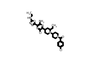 CCNc1nnc(-c2nc(Cl)c(C3CCN(C4CCN(C(=O)c5ccc(Cl)cc5)CC4)C(CC)C3)nc2N)o1